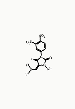 CCCN1C(=O)N(c2ccc([N+](=O)[O-])c([N+](=O)[O-])c2)C(=O)C1=CN(CC)CC